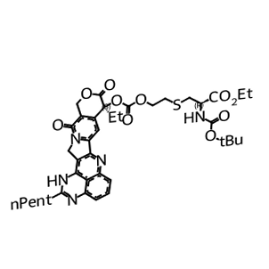 CCCCCC1=Nc2cccc3nc4c(c(c23)N1)Cn1c-4cc2c(c1=O)COC(=O)[C@@]2(CC)OC(=O)OCCSC[C@H](NC(=O)OC(C)(C)C)C(=O)OCC